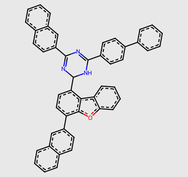 c1ccc(-c2ccc(C3=NC(c4ccc5ccccc5c4)=NC(c4ccc(-c5ccc6ccccc6c5)c5oc6ccccc6c45)N3)cc2)cc1